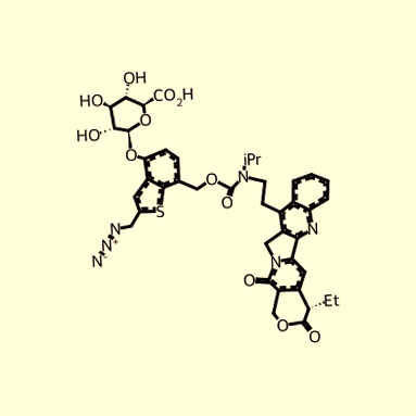 CC[C@@H]1C(=O)OCc2c1cc1n(c2=O)Cc2c-1nc1ccccc1c2CCN(C(=O)OCc1ccc(O[C@@H]2O[C@H](C(=O)O)[C@@H](O)[C@H](O)[C@H]2O)c2cc(CN=[N+]=[N-])sc12)C(C)C